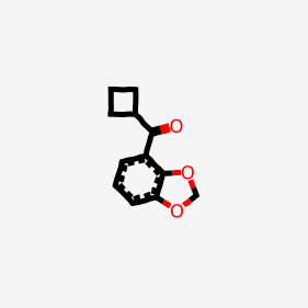 O=C(c1cccc2c1OCO2)C1CCC1